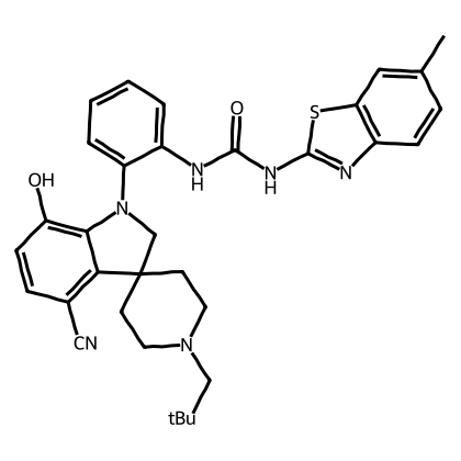 Cc1ccc2nc(NC(=O)Nc3ccccc3N3CC4(CCN(CC(C)(C)C)CC4)c4c(C#N)ccc(O)c43)sc2c1